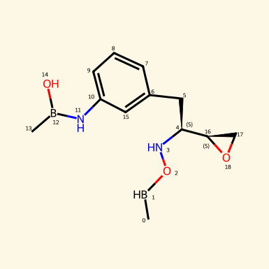 CBON[C@@H](Cc1cccc(NB(C)O)c1)[C@H]1CO1